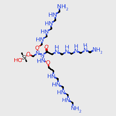 C[Si](C)(O)OCN(OCNCNCNCNCN)N(NOCCNCNCNCNCN)C(=O)CNCNCNCNCN